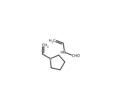 C=CN1CCCC1.C=CNC=O